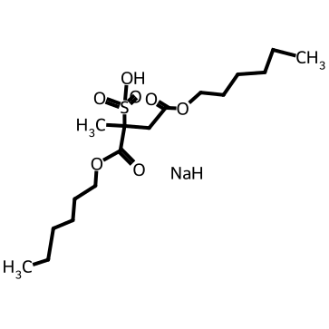 CCCCCCOC(=O)CC(C)(C(=O)OCCCCCC)S(=O)(=O)O.[NaH]